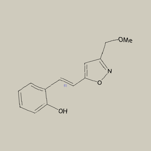 COCc1cc(/C=C/c2ccccc2O)on1